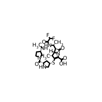 CN[C@H]1CCN(C(=O)[C@@H]2C[C@H](SC3=C(C(=O)O)N4C(=O)[C@H]([C@@H](C)NC(=O)C(F)F)[C@H]4[C@H]3C)CN2)C1